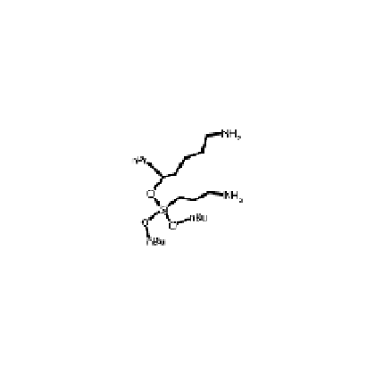 CCCCO[Si](CCCN)(OCCCC)OC(CCC)CCCCN